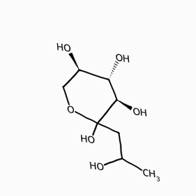 CC(O)CC1(O)OC[C@@H](O)[C@H](O)[C@H]1O